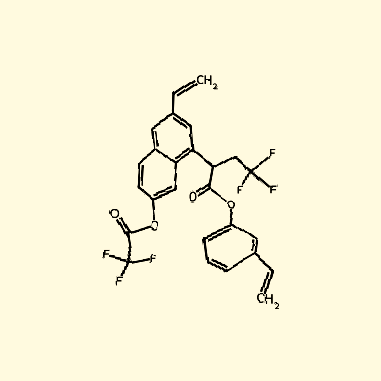 C=Cc1cccc(OC(=O)C(CC(F)(F)F)c2cc(C=C)cc3ccc(OC(=O)C(F)(F)F)cc23)c1